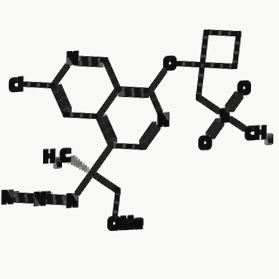 COC[C@@](C)(N=[N+]=[N-])c1cnc(OC2(CS(C)(=O)=O)CCC2)c2cnc(Cl)cc12